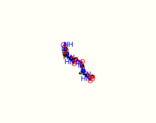 CC[C@H]1CN(c2ccc(C(=O)NCC3CCc4c(c(=O)[nH]c5cc(CN6CCN(c7ccc(C(=O)NC)nc7)[C@H]7CC[C@H]76)cnc45)O3)nc2)CCN1Cc1cnc2c3c(c(=O)[nH]c2c1)OCCC3